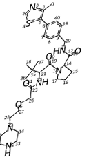 Cc1ncsc1-c1ccc(CNC(=O)C2CCCN2C(=O)C(NC(=O)COCCN2CCNCC2)C(C)(C)C)cc1